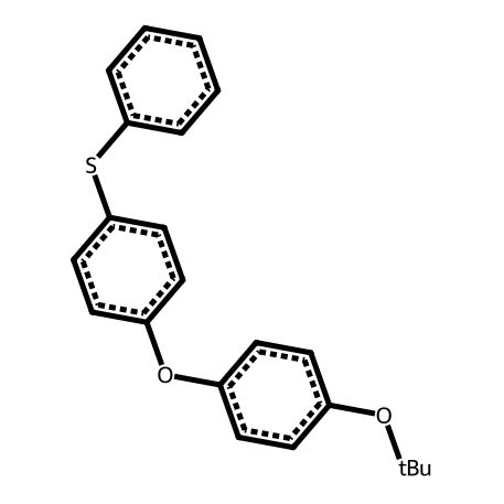 CC(C)(C)Oc1ccc(Oc2ccc(Sc3ccccc3)cc2)cc1